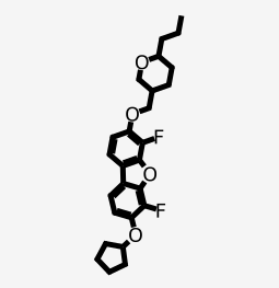 CCCC1CCC(COc2ccc3c(oc4c(F)c(OC5CCCC5)ccc43)c2F)CO1